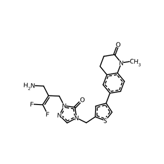 CN1C(=O)CCc2cc(-c3csc(Cn4cnn(CC(CN)=C(F)F)c4=O)c3)ccc21